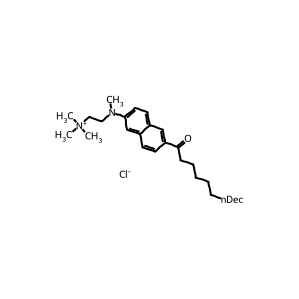 CCCCCCCCCCCCCCCC(=O)c1ccc2cc(N(C)CC[N+](C)(C)C)ccc2c1.[Cl-]